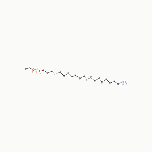 CCOPOCCCSCCCCCCCCCCCCCCCCN